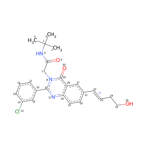 CC(C)(C)NC(=O)Cn1c(-c2cccc(Cl)c2)nc2ccc(/C=C/CCO)cc2c1=O